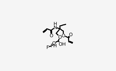 C=CC(=O)NC(CC)(COC(=O)C=C)COC(O)OPF